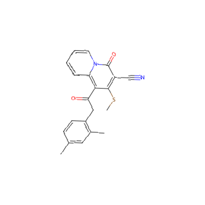 CSc1c(C#N)c(=O)n2ccccc2c1C(=O)Cc1ccc(C)cc1C